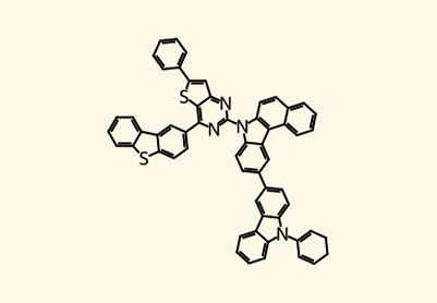 C1=CC(n2c3ccccc3c3cc(-c4ccc5c(c4)c4c6ccccc6ccc4n5-c4nc(-c5ccc6sc7ccccc7c6c5)c5sc(-c6ccccc6)cc5n4)ccc32)=CCC1